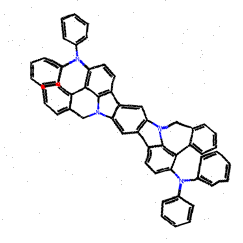 c1ccc(N(c2ccccc2)c2ccc3c4cc5c(cc4n4c3c2-c2ccccc2C4)c2ccc(N(c3ccccc3)c3ccccc3)c3c2n5Cc2ccccc2-3)cc1